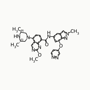 COc1ncc2c(N3C[C@@H](C)N[C@@H](C)C3)ccc(C(=O)Nc3cc(Oc4ccnnc4)c4nn(C)cc4c3)c2n1